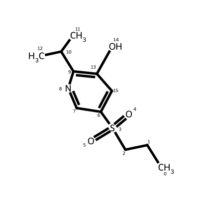 CCCS(=O)(=O)c1cnc(C(C)C)c(O)c1